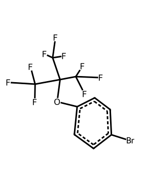 FC(F)(F)C(Oc1ccc(Br)cc1)(C(F)(F)F)C(F)(F)F